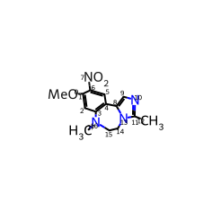 COc1cc2c(cc1[N+](=O)[O-])-c1cnc(C)n1CCN2C